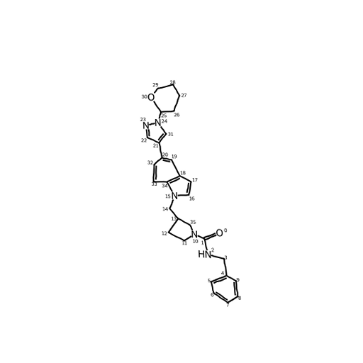 O=C(NCc1ccccc1)N1CCC(Cn2ccc3cc(-c4cnn(C5CCCCO5)c4)ccc32)C1